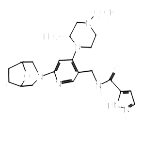 C[C@@H]1CN(C(=O)O)CCN1c1cc(N2CC3CCC(C2)O3)ncc1CNC(=O)c1ccn[nH]1